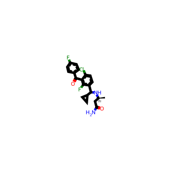 C[C@@H](CC(N)=O)NC(c1ccc(Cl)c(C(=O)c2ccc(F)cc2)c1F)C1CC1